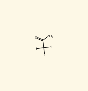 NC(=O)C(F)(I)I